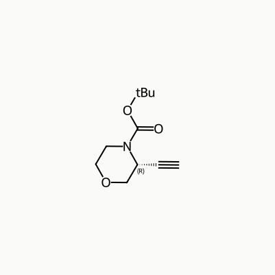 C#C[C@@H]1COCCN1C(=O)OC(C)(C)C